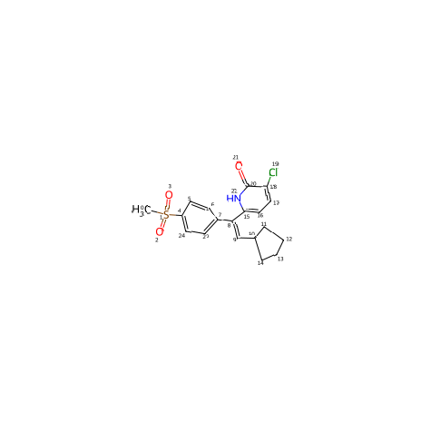 CS(=O)(=O)c1ccc(C(=CC2CCCC2)c2ccc(Cl)c(=O)[nH]2)cc1